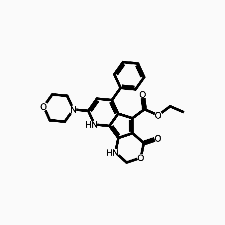 CCOC(=O)c1c2c(c3[nH]c(N4CCOCC4)cc(-c4ccccc4)c1-3)NCOC2=O